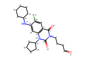 O=CCCCn1c(=O)c2cc(F)c(NC3CCCCC3)cc2n(C2CCCC2)c1=O